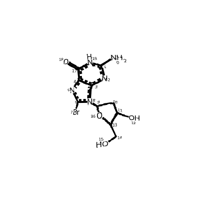 Nc1nc2c(nc(Br)n2C2CC(O)C(CO)O2)c(=O)[nH]1